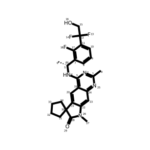 Cc1nc(N[C@H](C)c2cccc(C(F)(F)CO)c2F)c2cc3c(cc2n1)N(C)C(=O)C31CCCC1